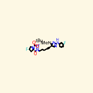 CNc1nc(Nc2cccc(F)c2)ncc1C#CCCCNC(=O)[C@@H]1C[C@H](F)CN1C(=O)OC(C)(C)C